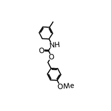 COc1ccc(COC(=O)NC2C=C(C)C=CC2)cc1